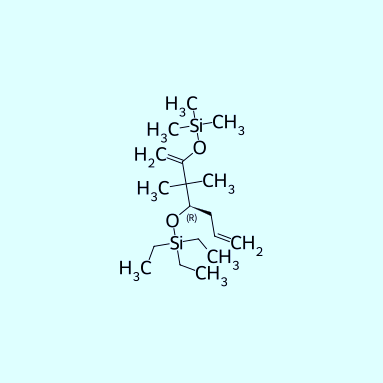 C=CC[C@@H](O[Si](CC)(CC)CC)C(C)(C)C(=C)O[Si](C)(C)C